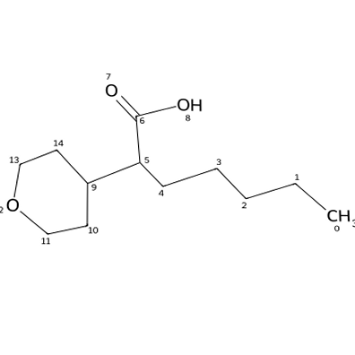 CCCCCC(C(=O)O)C1CCOCC1